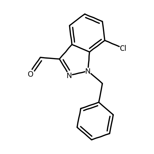 O=Cc1nn(Cc2ccccc2)c2c(Cl)cccc12